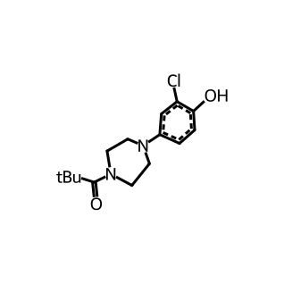 CC(C)(C)C(=O)N1CCN(c2ccc(O)c(Cl)c2)CC1